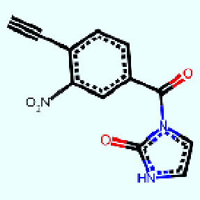 C#Cc1ccc(C(=O)n2cc[nH]c2=O)cc1[N+](=O)[O-]